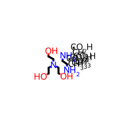 CC(=O)O.CC(=O)O.CC(=O)O.CC(=O)O.NCCN.OCCN(CCO)CCO